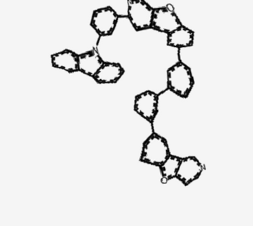 c1cc(-c2cccc(-c3ccc4oc5cnc(-c6cccc(-n7c8ccccc8c8ccccc87)c6)cc5c4c3)c2)cc(-c2ccc3oc4ccncc4c3c2)c1